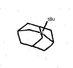 CC(C)(C)N1CC2CC3CC(C2)CC1C3